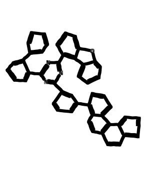 c1ccc(-c2ccccc2-c2nc(-c3cccc(-c4cccc5c4ccc4ccc6ccccc6c45)c3)nc(-c3cccc4oc5ccccc5c34)n2)cc1